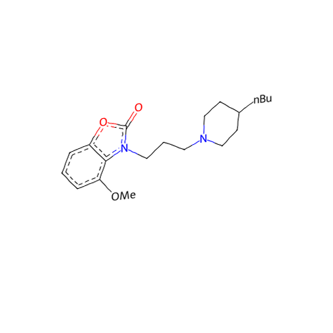 CCCCC1CCN(CCCn2c(=O)oc3cccc(OC)c32)CC1